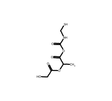 CC(OC(=O)CO)C(=O)OC(=O)NCS